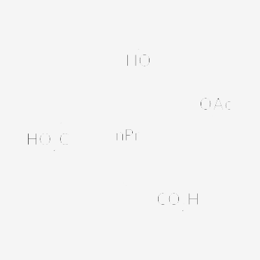 CCCC(O)OC(C)=O.O=C(O)C=CC(=O)O